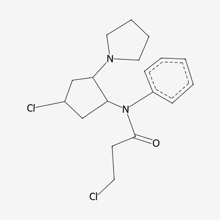 O=C(CCCl)N(c1ccccc1)C1CC(Cl)CC1N1CCCC1